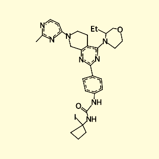 CCC1COCCN1c1nc(-c2ccc(NC(=O)NC3(I)CCC3)cc2)nc2c1CCN(c1ccnc(C)n1)C2